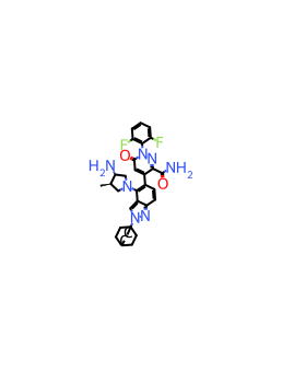 C[C@@H]1CN(c2c(-c3cc(=O)n(-c4c(F)cccc4F)nc3C(N)=O)ccc3nn(C45CCC(CC4)CC5)cc23)C[C@@H]1N